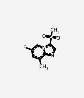 Cc1cc(F)cn2c(S(C)(=O)=O)cnc12